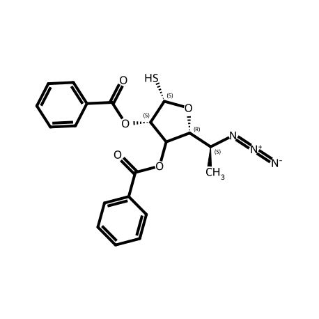 C[C@H](N=[N+]=[N-])[C@H]1O[C@@H](S)[C@@H](OC(=O)c2ccccc2)C1OC(=O)c1ccccc1